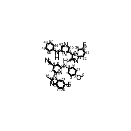 COc1ccc(Nc2cc(C#N)cc(-n3c(C)nc4ccc(F)cc43)n2)cc1.Cc1nc2ccc(F)cn2c1-c1cncc(Nc2ccccc2)n1